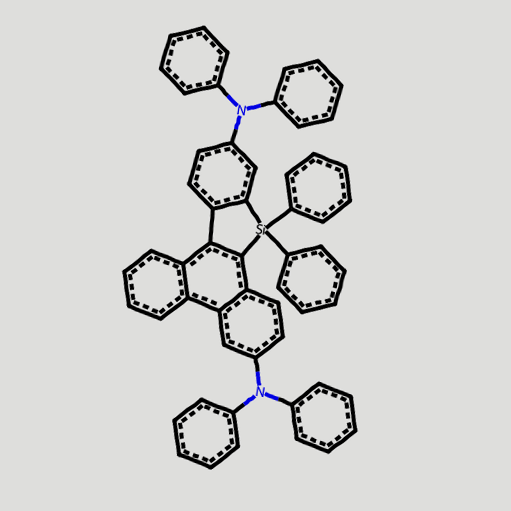 c1ccc(N(c2ccccc2)c2ccc3c(c2)[Si](c2ccccc2)(c2ccccc2)c2c-3c3ccccc3c3cc(N(c4ccccc4)c4ccccc4)ccc23)cc1